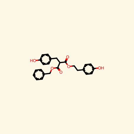 O=C(OCCc1ccc(O)cc1)C(Cc1ccc(O)cc1)C(=O)OCc1ccccc1